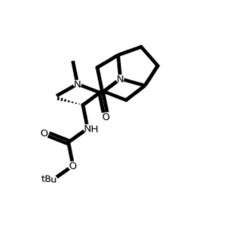 C[C@@H](NC(=O)OC(C)(C)C)C1CC2CCC(C1)N2C(=O)N(C)C